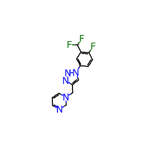 Fc1ccc(-n2cc(CN3C=CC=NC3)nn2)cc1C(F)F